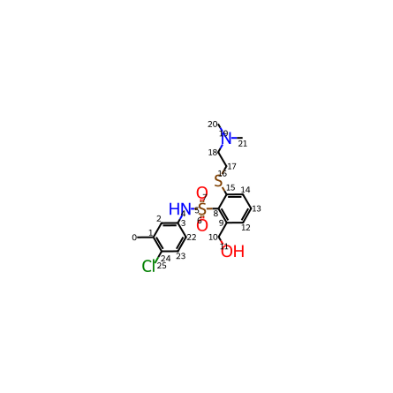 Cc1cc(NS(=O)(=O)c2c(CO)cccc2SCCN(C)C)ccc1Cl